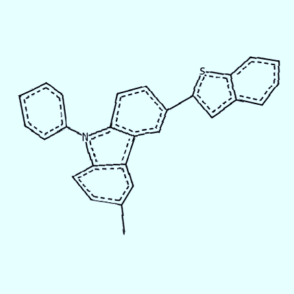 Cc1ccc2c(c1)c1cc(-c3cc4ccccc4s3)ccc1n2-c1ccccc1